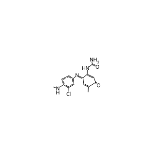 CNc1ccc(N=C2C=C(C)C(=O)C=C2NC(N)=O)cc1Cl